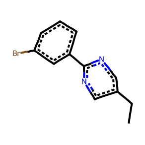 CCc1cnc(-c2cccc(Br)c2)nc1